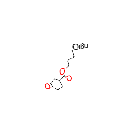 CC(C)COCCCCOC(=O)C1CCC2OC2C1